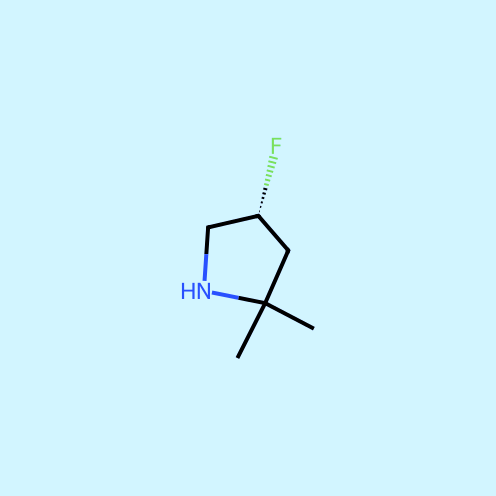 CC1(C)C[C@@H](F)CN1